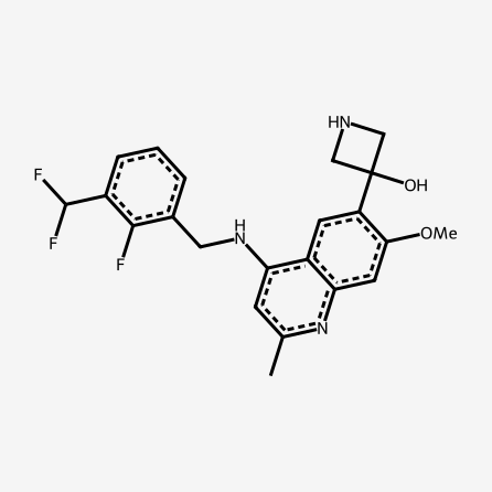 COc1cc2nc(C)cc(NCc3cccc(C(F)F)c3F)c2cc1C1(O)CNC1